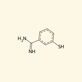 N=C(N)c1cccc(S)c1